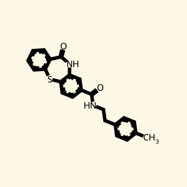 Cc1ccc(CCNC(=O)c2ccc3c(c2)NC(=O)c2ccccc2S3)cc1